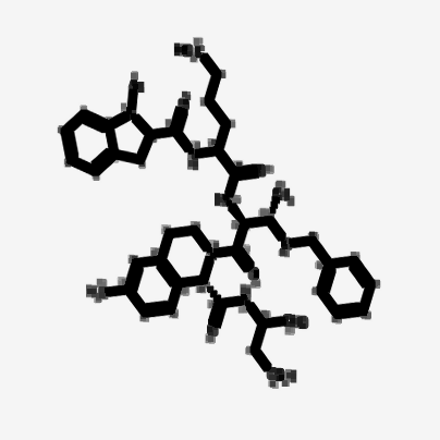 CC(=O)N1c2ccccc2CC1C(=O)NC(CCCC(=O)O)C(=O)N[C@H](C(=O)N1CCc2cc(C)ccc2[C@H]1C(=O)NC(C=O)CC(=O)O)[C@H](C)OCc1ccccc1